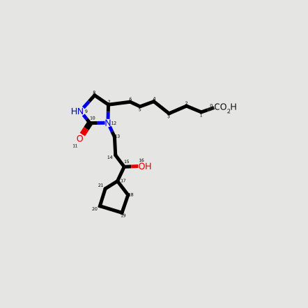 O=C(O)CCCCCCC1CNC(=O)N1CCC(O)C1CCCC1